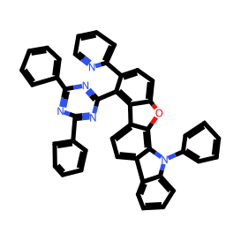 c1ccc(-c2nc(-c3ccccc3)nc(-c3c(-c4ccccn4)ccc4oc5c(ccc6c7ccccc7n(-c7ccccc7)c65)c34)n2)cc1